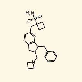 NS(=O)(=O)C1(Cc2ccc3c(c2)C(Cc2ccccc2)C(CN2CCC2)C3)CCC1